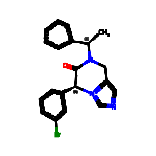 C[C@@H](c1ccccc1)N1Cc2cncn2[C@@H](c2cccc(Br)c2)C1=O